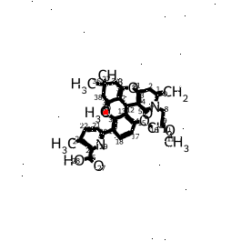 C=C1CC2=C(C(=O)N1CCOC)C(c1c(OC)ccc(-c3ccc(C)c(C(=O)O)n3)c1C)C1=C(CC(C)(C)CC1=O)O2